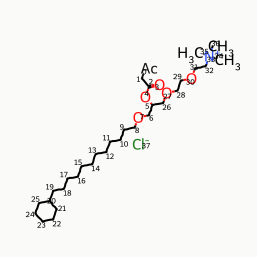 CC(=O)CC(=O)OC(COCCCCCCCCCCCCC1CCCCC1)COCCOCC[N+](C)(C)C.[Cl-]